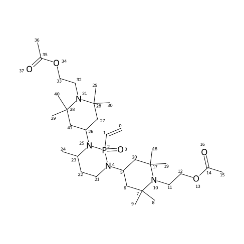 C=CP1(=O)N(C2CC(C)(C)N(CCOC(C)=O)C(C)(C)C2)CCC(C)N1C1CC(C)(C)N(CCOC(C)=O)C(C)(C)C1